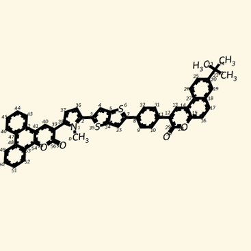 Cn1c(-c2cc3sc(-c4ccc(-c5cc6c(ccc7cc(C(C)(C)C)ccc76)oc5=O)cc4)cc3s2)ccc1-c1cc2c3ccccc3c3ccccc3c2oc1=O